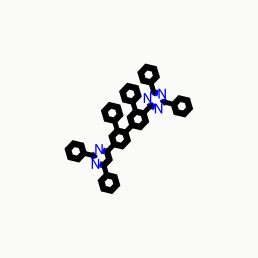 c1ccc(-c2cc(-c3ccc(-c4ccc(-c5nc(-c6ccccc6)nc(-c6ccccc6)n5)c(-c5ccccc5)c4)c(-c4ccccc4)c3)nc(-c3ccccc3)n2)cc1